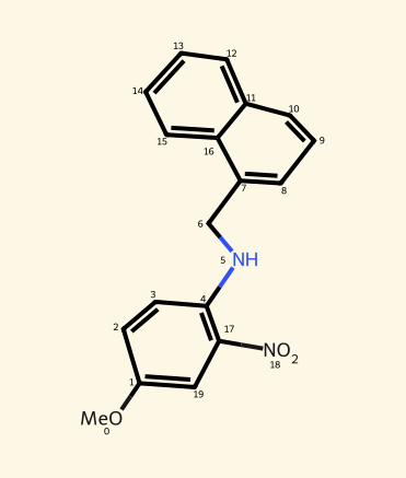 COc1ccc(NCc2cccc3ccccc23)c([N+](=O)[O-])c1